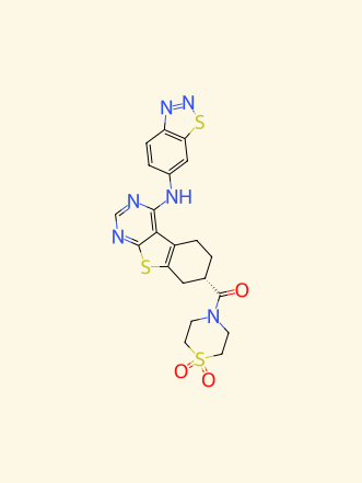 O=C([C@H]1CCc2c(sc3ncnc(Nc4ccc5nnsc5c4)c23)C1)N1CCS(=O)(=O)CC1